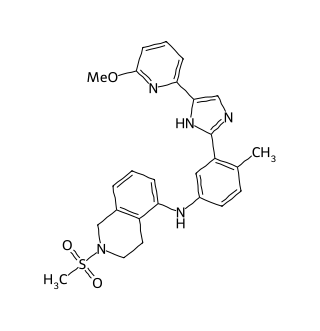 COc1cccc(-c2cnc(-c3cc(Nc4cccc5c4CCN(S(C)(=O)=O)C5)ccc3C)[nH]2)n1